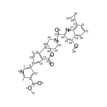 COC(=O)c1cncc(-c2ccc3c(c2)C(=O)OC2(CCN(C(=O)c4cc(OC)c5cccc(C6CC6)c5n4)CC2)C3)c1